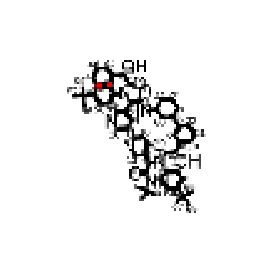 CC(C)(C)NC(=O)C(c1cccnc1)N(C(=O)[C@@H](O)c1cccc(C2CCCC(NC(=O)C(c3cccnc3)N(C(=O)[C@H](O)c3ccccc3)c3ccc(C(C)(C)C)cc3)C2)c1)c1ccc(C(C)(C)C)cc1